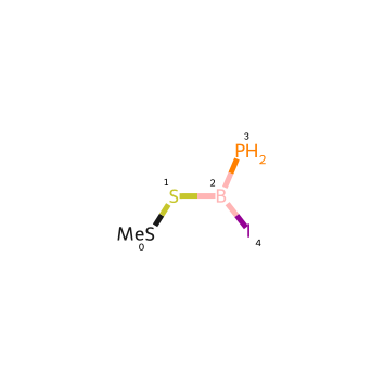 CSSB(P)I